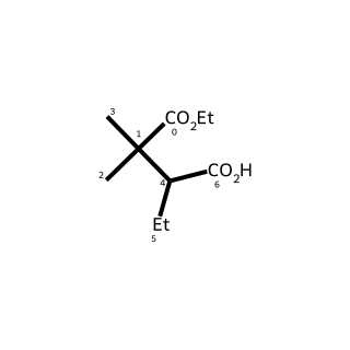 CCOC(=O)C(C)(C)C(CC)C(=O)O